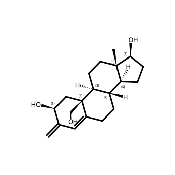 C=C1C=C2CC[C@@H]3[C@H](CC[C@]4(C)[C@@H](O)CC[C@@H]34)[C@@]2(CO)C[C@@H]1O